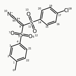 Cc1ccc(S(=O)(=O)C(=[N+]=[N-])S(=O)(=O)c2ccc(Cl)cc2)cc1